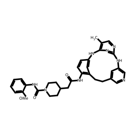 COc1ccccc1NC(=O)N1CCC(CC(=O)Nc2ccc3cc2CCc2cncc(c2)Nc2ncc(C)c(n2)N3)CC1